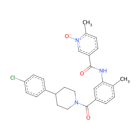 Cc1ccc(C(=O)N2CCC(c3ccc(Cl)cc3)CC2)cc1NC(=O)c1ccc(C)[n+]([O-])c1